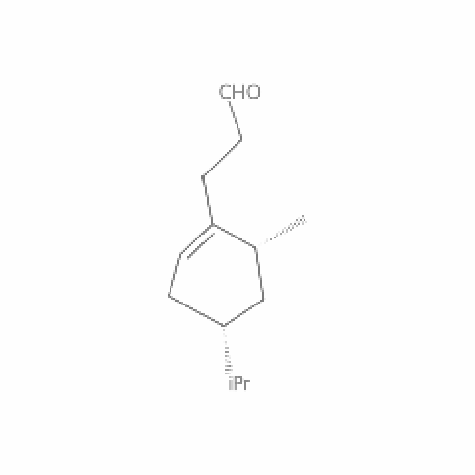 CC(C)[C@@H]1CC=C(CCC=O)[C@H](C)C1